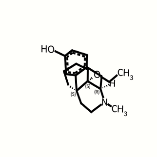 CCO[C@@]12CCCC[C@@]13CCN(C)[C@@H]2Cc1ccc(O)cc13